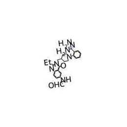 CCc1nc2ccc(NC=O)cc2c(=O)n1CC1CCN(c2ccccc2/C(N)=N/N)CC1